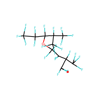 FC(F)(F)C(F)(F)C(F)(OC(F)(F)C(F)(F)C(F)(C(F)(F)F)C(F)(F)F)C(F)(C(F)(F)F)C(F)(F)F